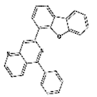 c1ccc(-c2nc(-c3cccc4c3oc3ccccc34)cc3ncccc23)cc1